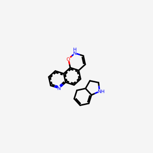 C1=CCC2CCNC2=C1.C1=Cc2ccc3ncccc3c2ON1